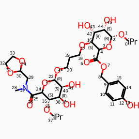 CC(C)O[C@@H]1OC(C(=O)OCc2ccc(O)cc2)[C@@H](OCCCO[C@@H]2OC(C(=O)N(C)CC3OCCO3)[C@@H](OC(C)C)[C@H](O)[C@@H]2O)[C@H](O)[C@@H]1O